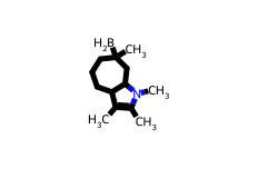 BC1(C)CCCC2C(C)=C(C)N(C)C2C1